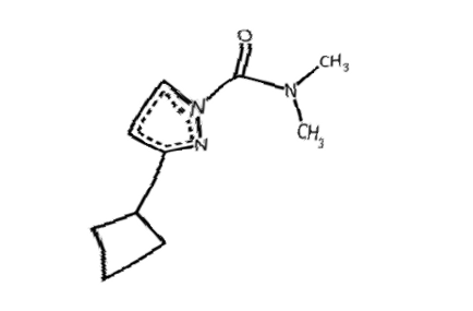 CN(C)C(=O)n1ccc(C2CCC2)n1